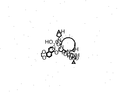 C[C@@H]1CC/C=C\[C@@H]2C[C@@]2(C(=O)NS(=O)(=O)C2CC2)NC(=O)[C@@H]2C[C@@H](Oc3nccc4c5c(ccc34)OCCO5)CN2C(=O)[C@@H](N(C(=O)O)[C@H]2CC3C[C@H]3C2)[C@H](C)C1